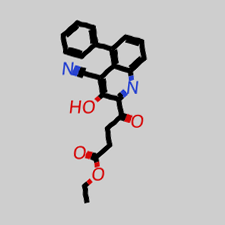 CCOC(=O)CCC(=O)c1nc2cccc(-c3ccccc3)c2c(C#N)c1O